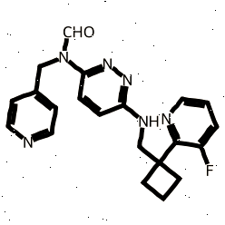 O=CN(Cc1ccncc1)c1ccc(NCC2(c3ncccc3F)CCC2)nn1